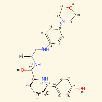 CC[C@@H](CNc1ccc(N2CCOCC2)cc1)NC(=O)[C@H](CC(C)C)N[C@@H](c1ccc(O)cc1)C(F)(F)F